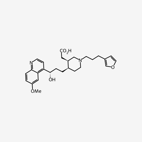 COc1ccc2nccc([C@@H](O)CC[C@@H]3CCN(CCCc4ccoc4)C[C@@H]3CC(=O)O)c2c1